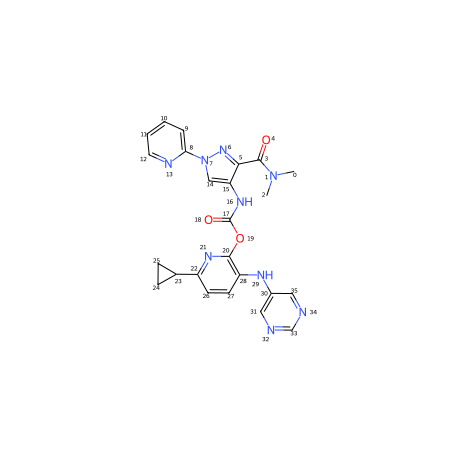 CN(C)C(=O)c1nn(-c2ccccn2)cc1NC(=O)Oc1nc(C2CC2)ccc1Nc1cncnc1